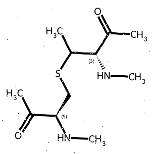 CN[C@H](CSC(C)[C@@H](NC)C(C)=O)C(C)=O